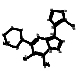 Nc1c(Br)c(C2CCCNC2)nc2c(-c3ccsc3Cl)cnn12